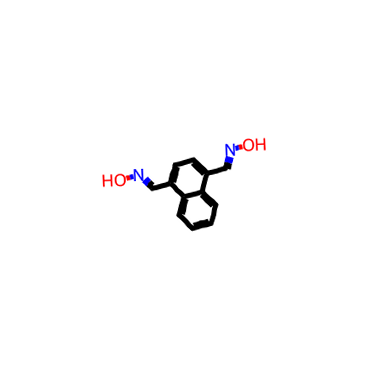 O/N=C/c1ccc(/C=N/O)c2ccccc12